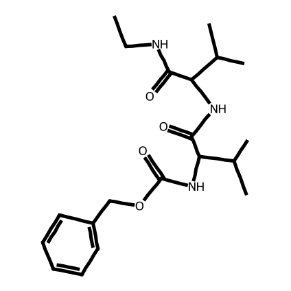 CCNC(=O)C(NC(=O)C(NC(=O)OCc1ccccc1)C(C)C)C(C)C